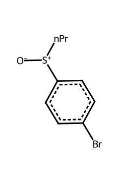 CCC[S+]([O-])c1ccc(Br)cc1